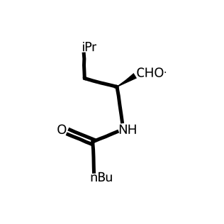 CCCCC(=O)N[C@H]([C]=O)CC(C)C